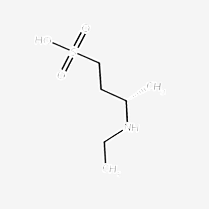 CCN[C@@H](C)CCS(=O)(=O)O